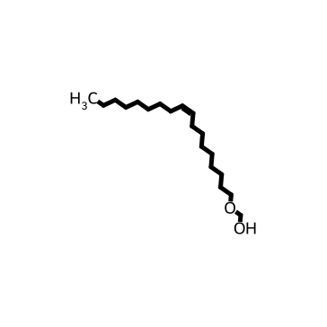 CCCCCCCC/C=C\CCCCCCCCOCO